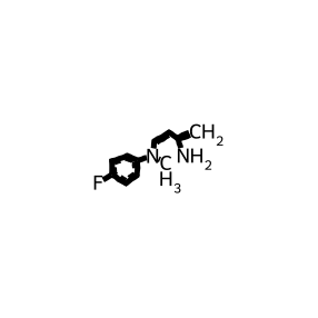 C=C(N)/C=C\N(C)c1ccc(F)cc1